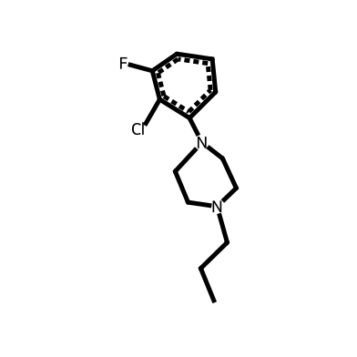 CCCN1CCN(c2cccc(F)c2Cl)CC1